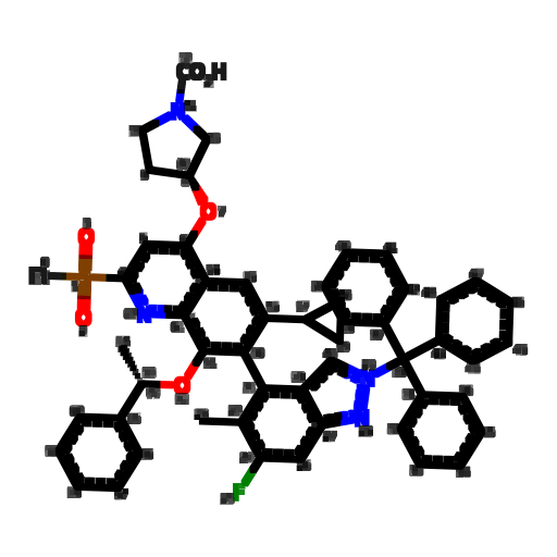 CCS(=O)(=O)c1cc(O[C@H]2CCN(C(=O)O)C2)c2cc(C3CC3)c(-c3c(C)c(F)cc4nn(C(c5ccccc5)(c5ccccc5)c5ccccc5)cc34)c(O[C@@H](C)c3ccccc3)c2n1